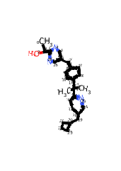 CC(O)c1ncc(Cc2ccc(C(C)(C)c3ccc(CC4CCC4)cn3)cc2)cn1